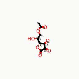 CC(=O)OC[C@H](O)[C@H]1OC(=O)C(=O)C1=O